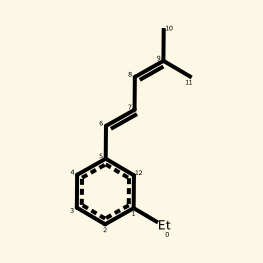 CCc1cccc(C=CC=C(C)C)c1